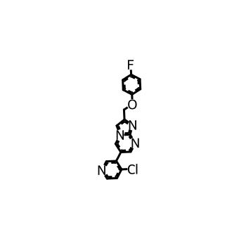 Fc1ccc(OCc2cn3cc(-c4cnccc4Cl)cnc3n2)cc1